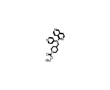 CC(C)(C)OC(=O)N1CCC(CN(c2ccncc2)c2nccc3cnccc23)CC1